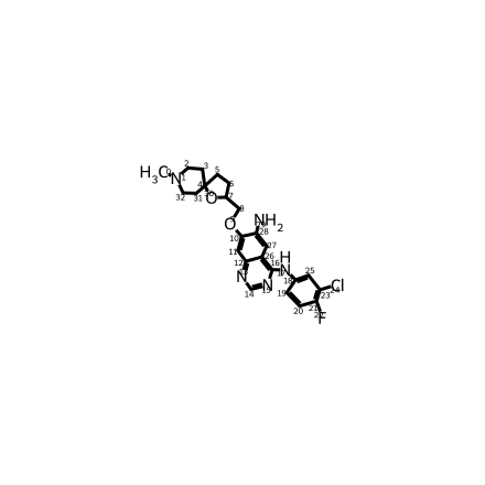 CN1CCC2(CCC(COc3cc4ncnc(Nc5ccc(F)c(Cl)c5)c4cc3N)O2)CC1